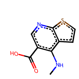 CNc1c(C(=O)O)cnc2sccc12